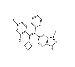 Fc1ccc(/C(=C(\c2[c]cccc2)c2ccc3[nH]nc(F)c3c2)C2CCC2)c(Cl)c1